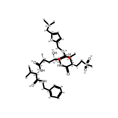 CC(C)C[C@H](NC(=O)[C@H](CCS(C)(=O)=O)NC(=O)OCc1ccc(CN(C)C)o1)[C@@H](O)C[C@@H](C)C(=O)N[C@H](C(=O)NCc1ccccc1)C(C)C